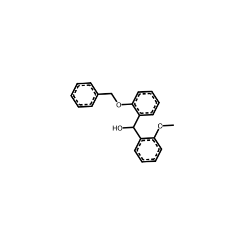 COc1ccccc1C(O)c1ccccc1OCc1ccccc1